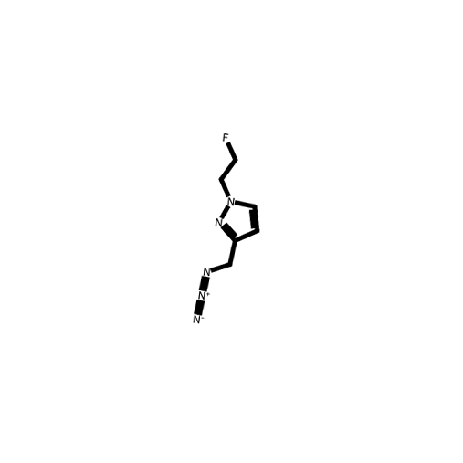 [N-]=[N+]=NCc1ccn(CCF)n1